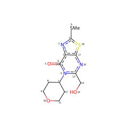 CSc1nc2c(=O)n(C3CCOCC3)c(CO)nc2s1